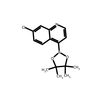 CC1(C)OB(c2ccnc3cc(Cl)ccc23)OC1(C)C